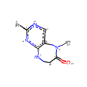 CC(C)c1ncc2c(n1)NCC(=O)N2C(C)C